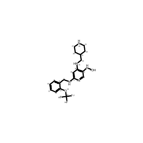 ONc1cnc(NCc2ccccc2OC(F)(F)F)cc1NCC1CCNCC1